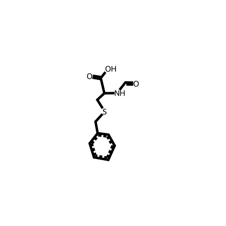 O=CNC(CSCc1ccccc1)C(=O)O